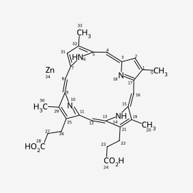 CC1=Cc2cc3[nH]c(cc4nc(cc5[nH]c(cc1n2)c(C)c5CCC(=O)O)C(CCC(=O)O)=C4C)cc3C.[Zn]